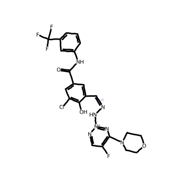 O=C(Nc1cccc(C(F)(F)F)c1)c1cc(Cl)c(O)c(/C=N\N[n+]2ncc(F)c(N3CCOCC3)n2)c1